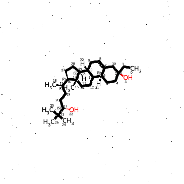 CC[C@]1(O)CC[C@H]2C(=CC[C@@H]3C2CC[C@]2(C)[C@@H]([C@H](C)CC[C@H](O)C(C)(C)C)CC[C@@H]32)C1